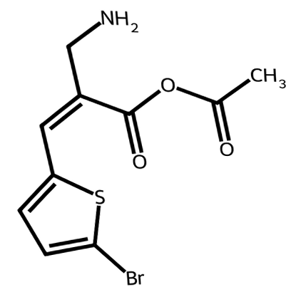 CC(=O)OC(=O)C(=Cc1ccc(Br)s1)CN